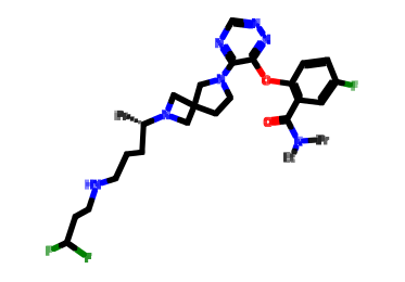 CCN(C(=O)c1cc(F)ccc1Oc1nncnc1N1CCC2(C1)CN([C@H](CCCNCCC(F)F)C(C)C)C2)C(C)C